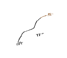 CCCCCC[S-].[Tl+]